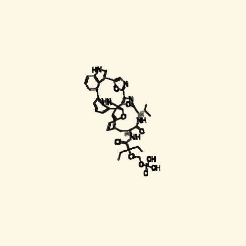 CCC(CC)(OCOP(=O)(O)O)C(=O)N[C@H]1Cc2ccc3c(c2)C24c5cccc(c5NC2O3)-c2cccc3[nH]cc(c23)-c2cnc(o2)-c2nc(oc24)[C@H](C(C)C)NC1=O